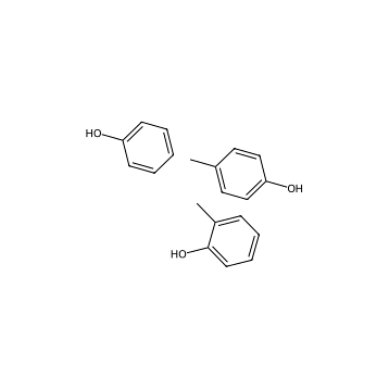 Cc1ccc(O)cc1.Cc1ccccc1O.Oc1ccccc1